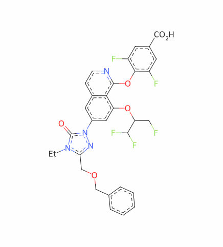 CCn1c(COCc2ccccc2)nn(-c2cc(OC(CF)C(F)F)c3c(Oc4c(F)cc(C(=O)O)cc4F)nccc3c2)c1=O